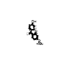 CCCCOc1ccc2c(=O)c3ccc(O)cc3oc2c1